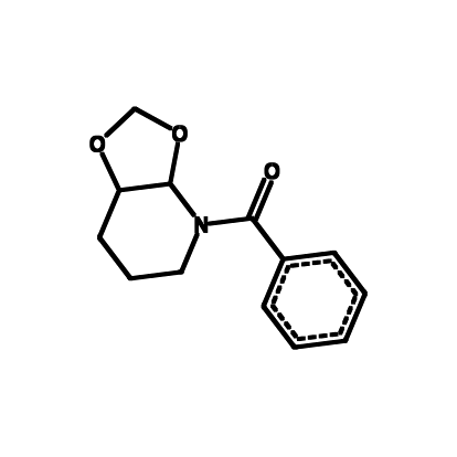 O=C(c1ccccc1)N1CCCC2OCOC21